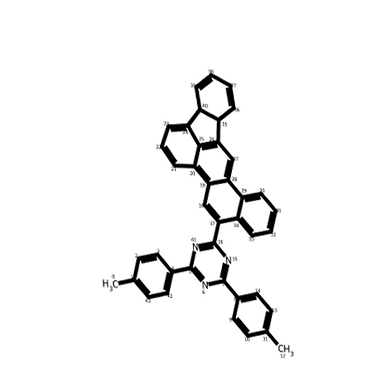 Cc1ccc(-c2nc(-c3ccc(C)cc3)nc(-c3cc4c5cccc6c5c(cc4c4ccccc34)C3C=CC=CC63)n2)cc1